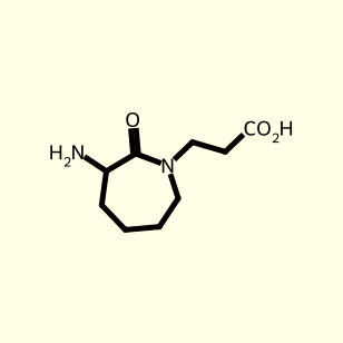 NC1CCCCN(CCC(=O)O)C1=O